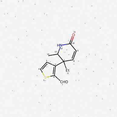 CCC1(c2ccsc2C=O)C=CC(=O)NC1C